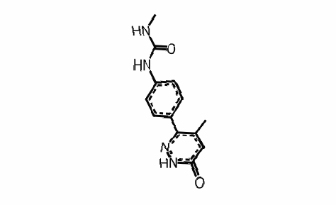 CNC(=O)Nc1ccc(-c2n[nH]c(=O)cc2C)cc1